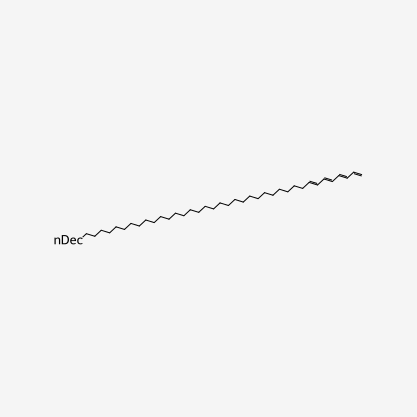 C=CC=CC=CC=CCCCCCCCCCCCCCCCCCCCCCCCCCCCCCCCCCCCCCCCC